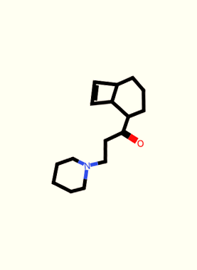 O=C(CCN1CCCCC1)C1CCCC2C=CC21